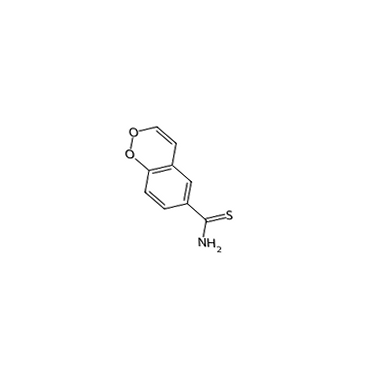 NC(=S)c1ccc2c(c1)C=COO2